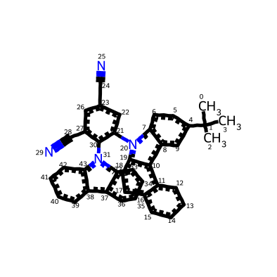 CC(C)(C)c1ccc2c(c1)c1c3ccccc3ccc1n2-c1cc(C#N)cc(C#N)c1-n1c2ccccc2c2ccccc21